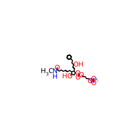 CCNC(=O)CCCC=CCC1C(O)CC(OC(=O)OCCCCO[N+](=O)[O-])C1C=C[C@@H](O)CCc1ccccc1